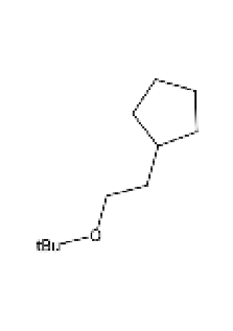 CC(C)(C)OCCC1CCCC1